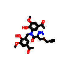 C#CCSCC(N)C(=O)N(Cc1cc(C(C)=O)cc(OC)c1O)c1cc(C(C)=O)cc(OC)c1O